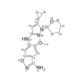 COc1cc2c(N)noc2cc1Nc1cc(C2CC2)n(C2CCCCO2)n1